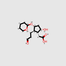 O=CCC[C@@H]1[C@@H](CC(=O)O)[C@@H](O)C[C@H]1OC1CCCCO1